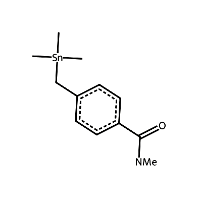 CNC(=O)c1ccc([CH2][Sn]([CH3])([CH3])[CH3])cc1